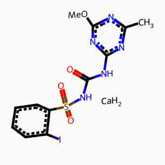 COc1nc(C)nc(NC(=O)NS(=O)(=O)c2ccccc2I)n1.[CaH2]